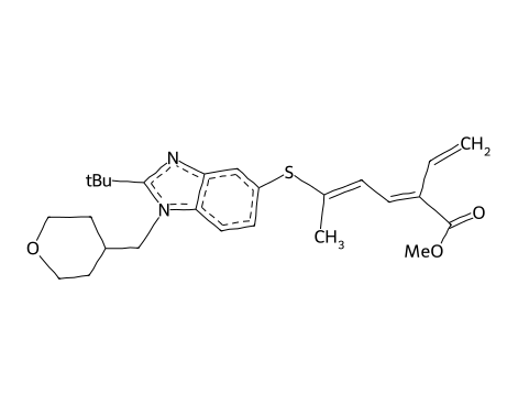 C=C/C(=C\C=C(/C)Sc1ccc2c(c1)nc(C(C)(C)C)n2CC1CCOCC1)C(=O)OC